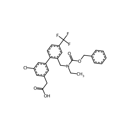 CCN(Cc1cc(C(F)(F)F)ccc1-c1cc(Cl)cc(CC(=O)O)c1)C(=O)OCc1ccccc1